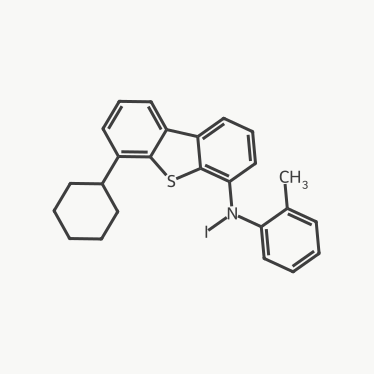 Cc1ccccc1N(I)c1cccc2c1sc1c(C3CCCCC3)cccc12